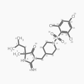 CC(C)CC1(C)NC(=N)N(CC2CCN(S(=O)(=O)c3c(Cl)cc(Cl)cc3Cl)CC2)C1=O